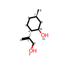 C=C(CO)[C@@H]1CC[C@@H](C)C[C@H]1O